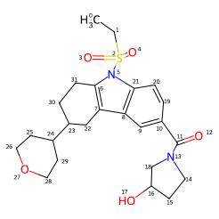 CCS(=O)(=O)n1c2c(c3cc(C(=O)N4CCC(O)C4)ccc31)CC(C1CCOCC1)CC2